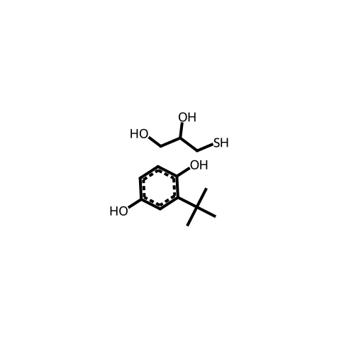 CC(C)(C)c1cc(O)ccc1O.OCC(O)CS